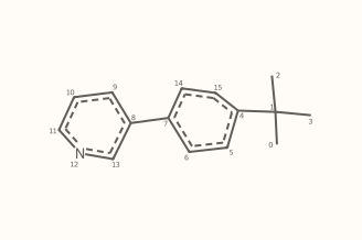 CC(C)(C)c1ccc(-c2cccnc2)cc1